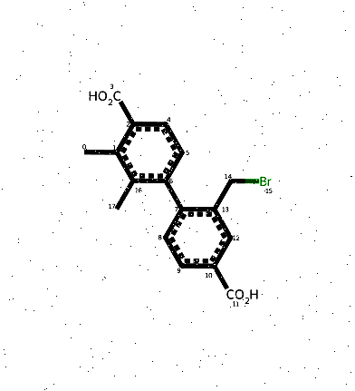 Cc1c(C(=O)O)ccc(-c2ccc(C(=O)O)cc2CBr)c1C